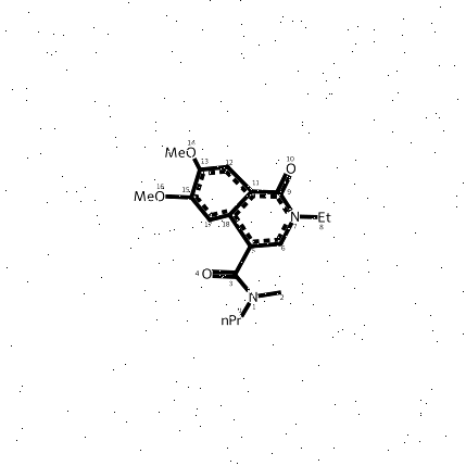 CCCN(C)C(=O)c1cn(CC)c(=O)c2cc(OC)c(OC)cc12